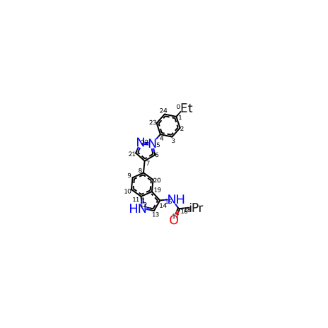 CCc1ccc(-n2cc(-c3ccc4[nH]cc(NC(=O)C(C)C)c4c3)cn2)cc1